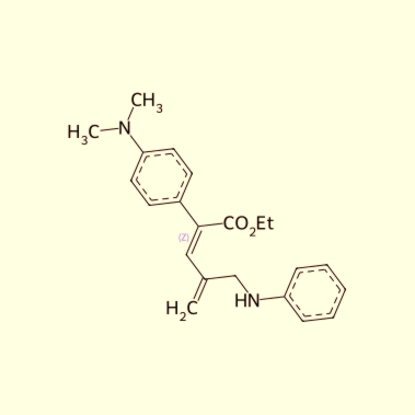 C=C(/C=C(\C(=O)OCC)c1ccc(N(C)C)cc1)CNc1ccccc1